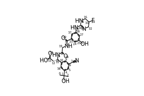 CC(C)(O)c1cc(C#N)cc([C@H](CC(=O)O)NC(=O)CNC(=O)c2cc(O)cc(NC3=NCC(F)CN3)c2)c1